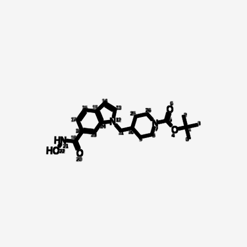 CC(C)(C)OC(=O)N1CCC(Cn2ccc3ccc(C(=O)NO)cc32)CC1